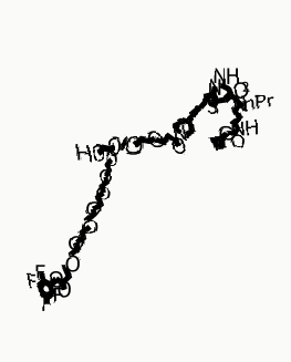 CCCN(CCCNC(=O)OC1CCC1)C(=O)C1=Cc2sc(C#CC3CCN(C(=O)CCOCCOCCOC(CO)OCCOCCOCCOCCOCCOCCOCCC(=O)Oc4c(F)c(F)cc(F)c4F)CC3)cc2N=C(N)C1